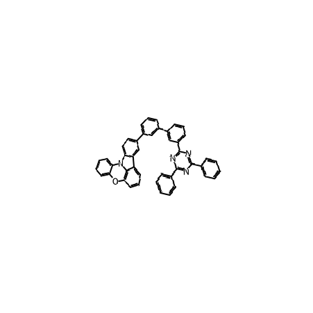 c1ccc(-c2nc(-c3ccccc3)nc(-c3cccc(-c4cccc(-c5ccc6c(c5)c5cccc7c5n6-c5ccccc5O7)c4)c3)n2)cc1